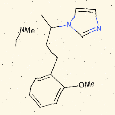 CNC.COc1ccccc1CCC(C)n1ccnc1